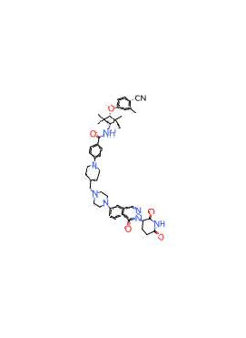 Cc1cc(O[C@H]2C(C)(C)[C@H](NC(=O)c3ccc(N4CCC(CN5CCN(c6ccc7c(=O)n([C@@H]8CCC(=O)NC8=O)ncc7c6)CC5)CC4)cc3)C2(C)C)ccc1C#N